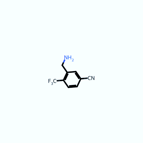 N#Cc1ccc(C(F)(F)F)c(CN)c1